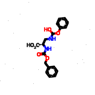 O=C(N[C@@H](CNC(O)Oc1ccccc1)C(=O)O)OCc1ccccc1